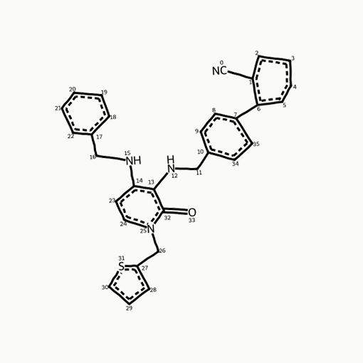 N#Cc1ccccc1-c1ccc(CNc2c(NCc3ccccc3)ccn(Cc3cccs3)c2=O)cc1